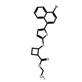 CCOC(=O)C1CCC1Sc1ccc(-c2ccc(Br)c3ccccc23)s1